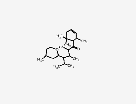 CC1CCOC(C(C(C)C)C(C)C(S)C(=O)C2C(C)C=CCC2(C)C)C1